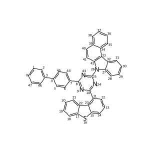 c1ccc(-c2ccc(-c3nc(-c4cccc5sc6ccccc6c45)nc(-n4c5ccccc5c5c6ccccc6ccc54)n3)cc2)cc1